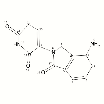 NC1CC=CC2=C1CN(C1=CCC(=O)NC1=O)C2=O